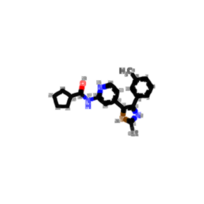 CCc1nc(-c2cccc(C)c2)c(-c2ccnc(NC(=O)C3CCCC3)c2)s1